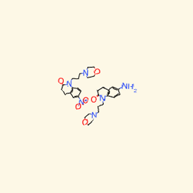 Nc1ccc2c(c1)CCC(=O)N2CCCN1CCOCC1.O=C1CCc2cc([N+](=O)[O-])ccc2N1CCCN1CCOCC1